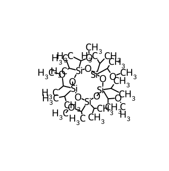 COC(C)[Si]1(C(C)C)O[Si](C(C)C)(C(C)OC)O[Si](C(C)C)(C(C)OC)O[Si](C(C)C)(C(C)OC)O[Si](C(C)C)(C(C)OC)O1